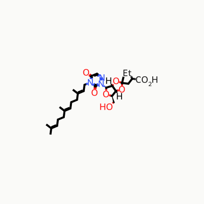 CCC(CC1(C)O[C@@H]2[C@H](O1)[C@@H](CO)O[C@H]2n1ncc(=O)n(C/C=C(\C)CC/C=C(\C)CCC=C(C)C)c1=O)C(=O)O